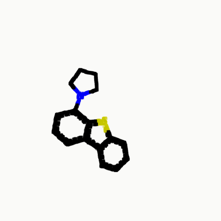 c1ccc2c(c1)sc1c(N3CCCC3)cccc12